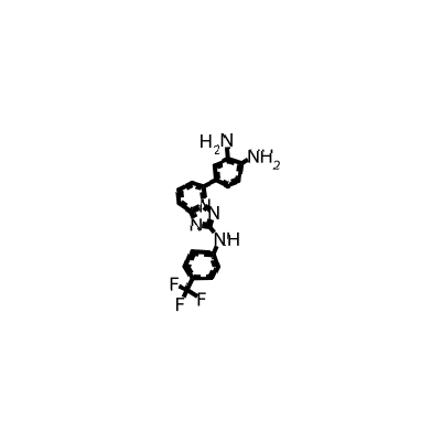 Nc1ccc(-c2cccc3nc(Nc4ccc(C(F)(F)F)cc4)nn23)cc1N